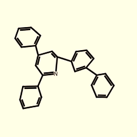 c1ccc(-c2cccc(-c3cc(-c4ccccc4)cc(-c4ccccc4)n3)c2)cc1